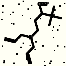 C=CCN(CC=C)CCC(C(=O)[O-])[N+](C)(C)C